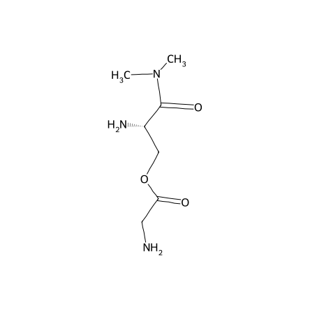 CN(C)C(=O)[C@@H](N)COC(=O)CN